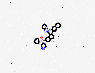 O=P(c1ccccc1)(c1ccncc1)c1ccc2ccc3c4cc5ccccc5cc4n4c5ccccc5nc4c3c2c1